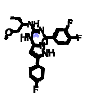 CCC(COC)N/C(=N/C(=O)c1ccc(F)c(F)c1)Nc1cc(-c2ccc(F)cc2)[nH]n1